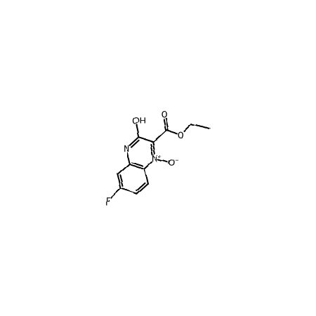 CCOC(=O)c1c(O)nc2cc(F)ccc2[n+]1[O-]